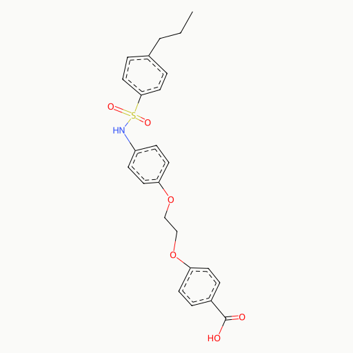 CCCc1ccc(S(=O)(=O)Nc2ccc(OCCOc3ccc(C(=O)O)cc3)cc2)cc1